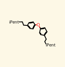 CCCC(C)CCc1ccc(Oc2ccc(CCC(C)CCC)cc2)cc1